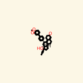 CC#C[C@]1(O)CC[C@H]2[C@@H]3CCC4=CC(=O)CCC4=C3[C@@H](c3ccc(-c4ccc5c(c4)OCO5)cc3)C[C@@]21C